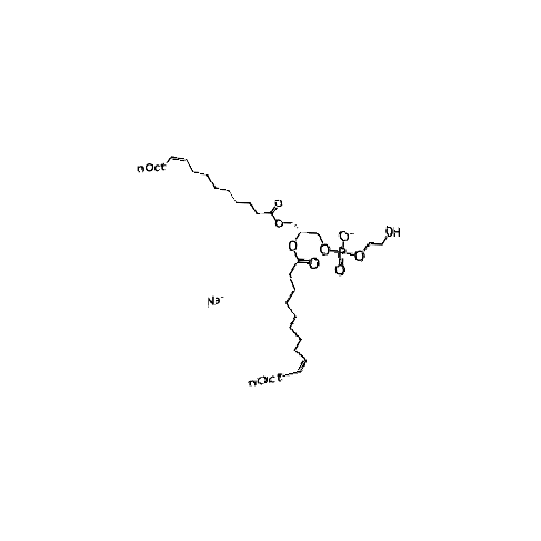 CCCCCCCC/C=C\CCCCCCCC(=O)OC[C@H](COP(=O)([O-])OCCO)OC(=O)CCCCCCC/C=C\CCCCCCCC.[Na+]